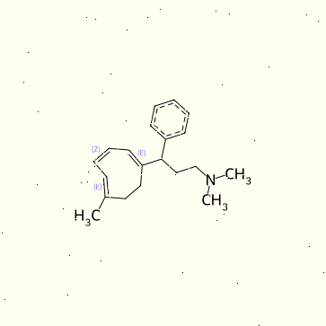 C\C1=C/C=C\C=C(\C(CCN(C)C)c2ccccc2)CC1